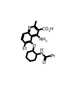 CCc1ccc2nc(C)c(C(=O)O)c(N)c2c1OC1CCCCC1NC(=O)C(C)C